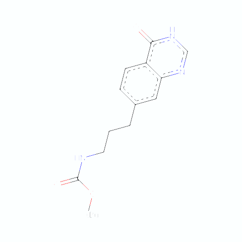 CC(C)(C)OC(=O)NCCCc1ccc2c(=O)[nH]cnc2c1